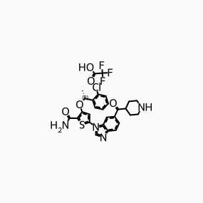 C[C@@H](Oc1cc(-n2cnc3ccc(C(=O)C4CCNCC4)cc32)sc1C(N)=O)c1ccccc1Cl.O=C(O)C(F)(F)F